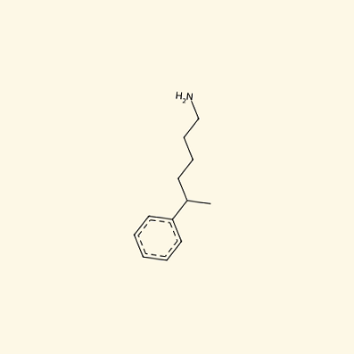 CC(CCCCN)c1ccccc1